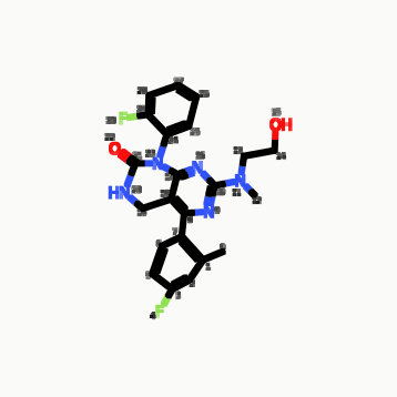 Cc1cc(F)ccc1-c1nc(N(C)CCO)nc2c1CNC(=O)N2c1ccccc1F